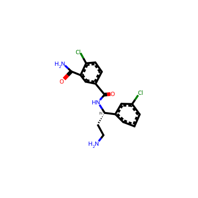 NCC[C@H](NC(=O)c1ccc(Cl)c(C(N)=O)c1)c1cccc(Cl)c1